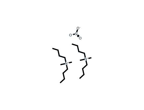 CCCC[N+](C)(C)CCCC.CCCC[N+](C)(C)CCCC.O=[Si]([O-])[O-]